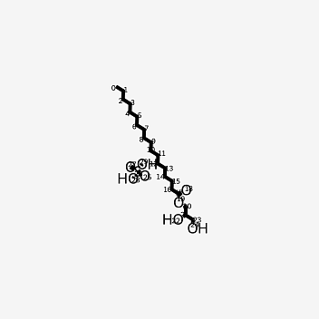 CCCCCCCCCCCCCCCCCC(=O)OCC(O)CO.O=S(=O)(O)O